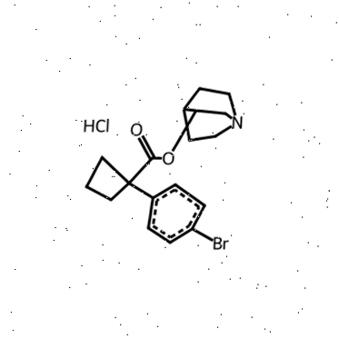 Cl.O=C(OC1CN2CCC1CC2)C1(c2ccc(Br)cc2)CCC1